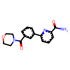 NC(=O)c1cccc(-c2cccc(C(=O)N3CCOCC3)c2)n1